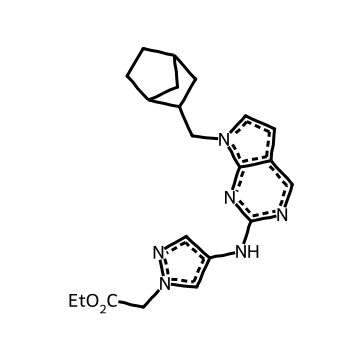 CCOC(=O)Cn1cc(Nc2ncc3ccn(CC4CC5CCC4C5)c3n2)cn1